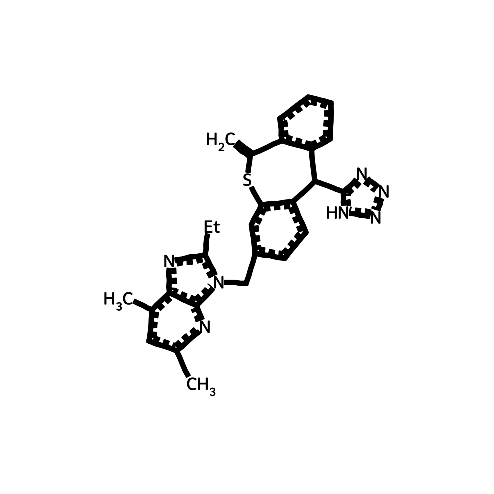 C=C1Sc2cc(Cn3c(CC)nc4c(C)cc(C)nc43)ccc2C(c2nnn[nH]2)c2ccccc21